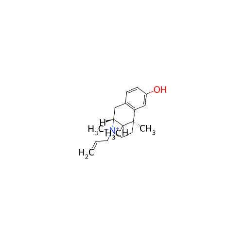 C=CC[N+]1(C)CC[C@]2(C)c3cc(O)ccc3C[C@@H]1[C@@H]2C